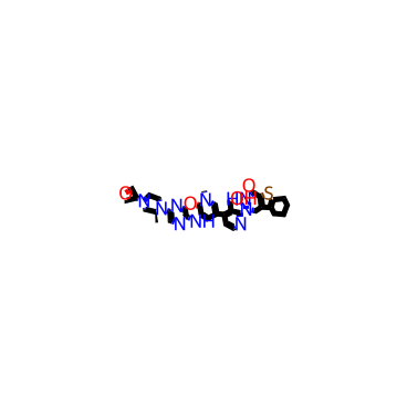 C[C@H]1CN(C2COC2)CCN1c1cnc(Nc2cc(-c3ccnc(N4Cc5c(sc6c5CCCC6)C(=O)N4)c3CO)cn(C)c2=O)cn1